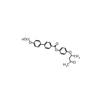 CCCCCCCCOc1ccc(-c2ccc(C(=O)Oc3ccc(O[C@@H](C)C[C@H](C)Cl)cc3)cc2)cc1